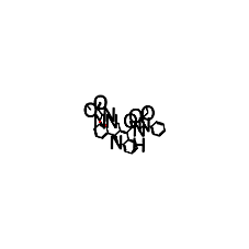 COC(=O)c1ncn(Cc2c(-c3ccccc3)nc3ccccc3c2C(=O)NN(C(=O)OC)c2ccccc2)n1